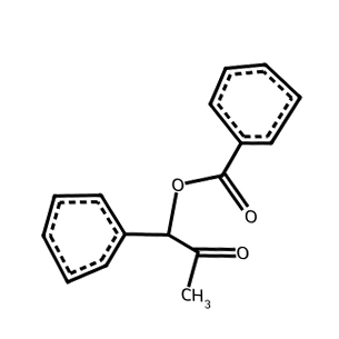 CC(=O)C(OC(=O)c1ccccc1)c1ccccc1